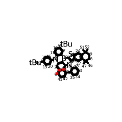 CC1=CC2=C3B(c4cc(C(C)(C)C)ccc4N2c2c#cc(C(C)(C)C)cc2)c2sc4cc5c(cc4c2N(c2ccccc2-c2ccccc2)C3C1)C(C)(C)CCC5(C)C